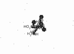 N=C(N)NCCC[C@H](NC(=O)[C@@H]1C[C@@H](Cc2ccccc2)[C@@H]2CCC(NC(=O)Cc3ccccc3)C(=O)N12)C(=O)N[C@H](CCc1ccccc1)CC(=O)O